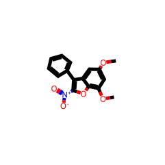 COc1cc(OC)c2oc([N+](=O)[O-])c(-c3ccccc3)c2c1